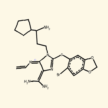 C=C/N=C1\C(=C(N)N)N=C(Sc2cc3c(cc2Br)OCO3)N1CCC(N)C1CCCC1